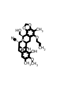 C=CCOc1c(C)c2c(c3c1CC1[C@@H]4c5c(cc(C)c(OC)c5O)CC([C@H](C#N)N1[C@H]3CO)N4C)OCO2